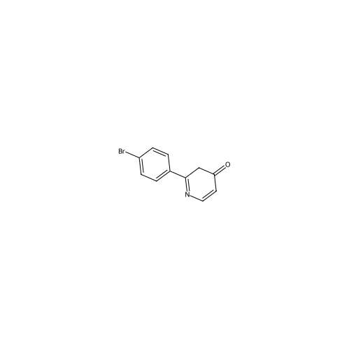 O=C1C=CN=C(c2ccc(Br)cc2)C1